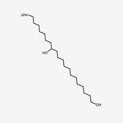 CCCCCCCCCCCCCCCCCC(O)CCCCCCCCCCCCO